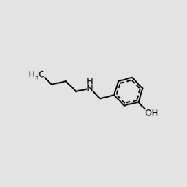 CCCCNCc1cccc(O)c1